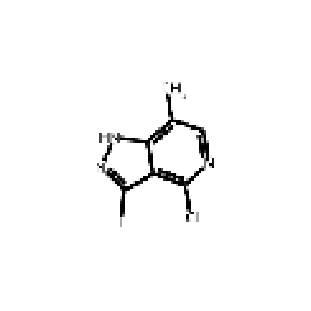 Cc1cnc(Cl)c2c(I)n[nH]c12